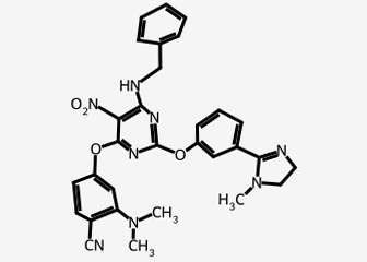 CN1CCN=C1c1cccc(Oc2nc(NCc3ccccc3)c([N+](=O)[O-])c(Oc3ccc(C#N)c(N(C)C)c3)n2)c1